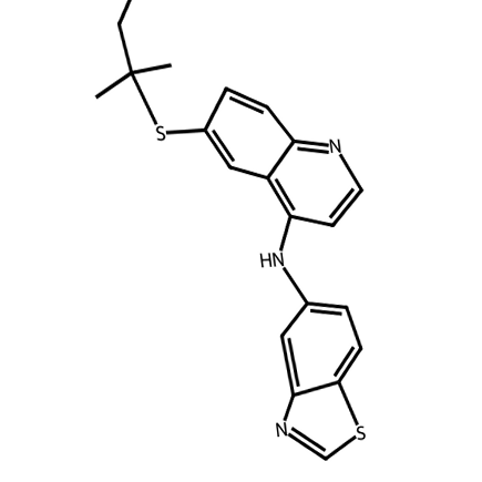 CCC(C)(C)Sc1ccc2nccc(Nc3ccc4scnc4c3)c2c1